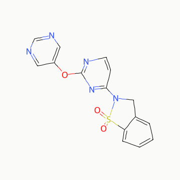 O=S1(=O)c2ccccc2CN1c1ccnc(Oc2cncnc2)n1